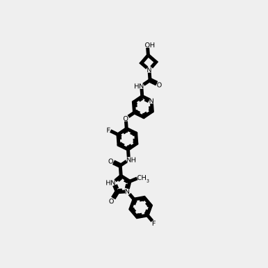 Cc1c(C(=O)Nc2ccc(Oc3ccnc(NC(=O)N4CC(O)C4)c3)c(F)c2)[nH]c(=O)n1-c1ccc(F)cc1